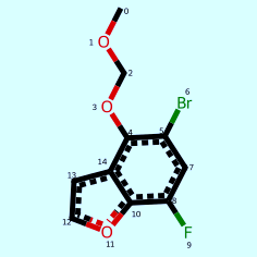 COCOc1c(Br)cc(F)c2occc12